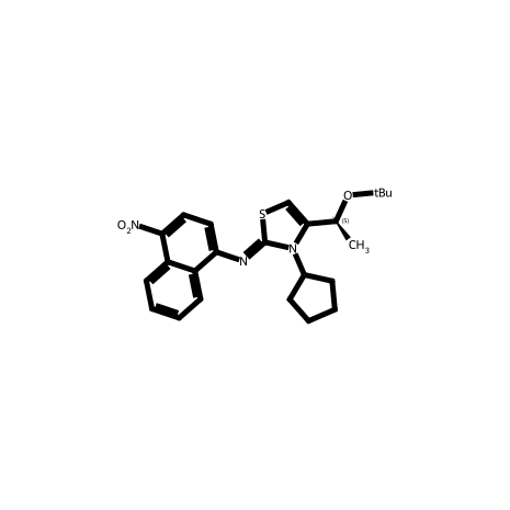 C[C@H](OC(C)(C)C)c1csc(=Nc2ccc([N+](=O)[O-])c3ccccc23)n1C1CCCC1